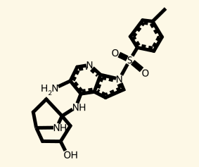 Cc1ccc(S(=O)(=O)n2ccc3c(NC45CCC(CC(O)C4)N5)c(N)cnc32)cc1